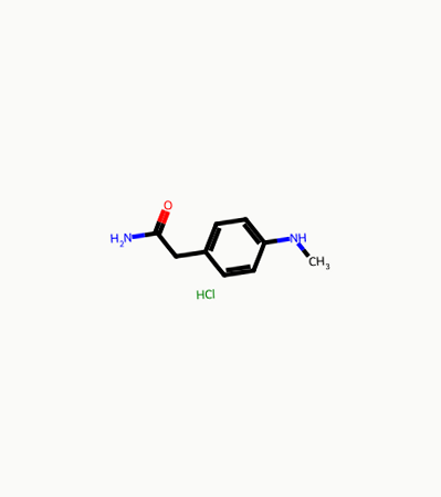 CNc1ccc(CC(N)=O)cc1.Cl